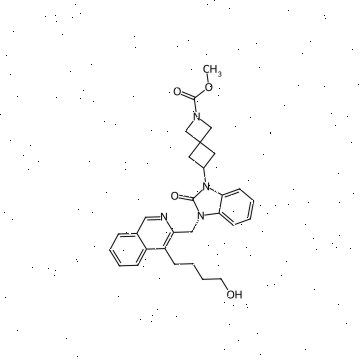 COC(=O)N1CC2(CC(n3c(=O)n(Cc4ncc5ccccc5c4CCCCO)c4ccccc43)C2)C1